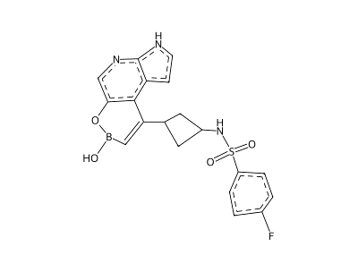 O=S(=O)(NC1CC(C2=CB(O)Oc3cnc4[nH]ccc4c32)C1)c1ccc(F)cc1